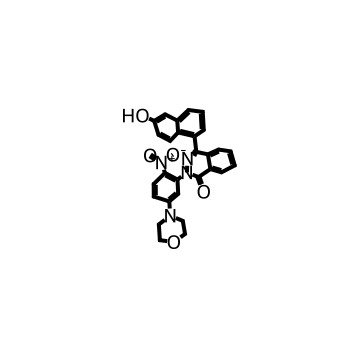 O=c1c2ccccc2c(-c2cccc3cc(O)ccc23)nn1-c1cc(N2CCOCC2)ccc1[N+](=O)[O-]